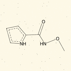 CONC(=O)c1ccc[nH]1